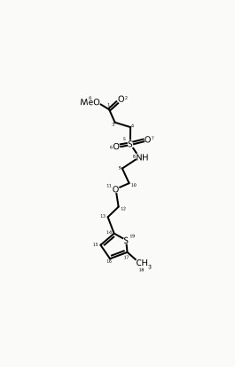 COC(=O)CCS(=O)(=O)NCCOCCc1ccc(C)s1